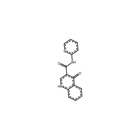 O=C(Nc1ccccn1)c1c[nH]c2ccccc2c1=O